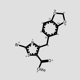 COC(=O)c1sc(Br)nc1Cc1ccc2c(c1)OCO2